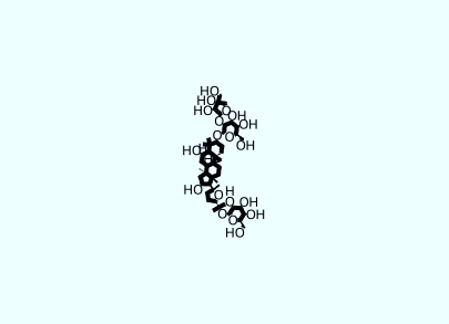 CC(C)(O[C@@H]1O[C@H](CO)[C@@H](O)[C@H](O)[C@H]1O)[C@@H]1CC[C@](C)([C@H]2[C@@H](O)C[C@@]3(C)[C@@H]4C[C@H](O)[C@H]5C(C)(C)[C@@H](O[C@@H]6O[C@H](CO)[C@@H](O)[C@H](O)[C@H]6O[C@@H]6OC[C@](O)(CO)[C@H]6O)CC[C@@]56C[C@@]46CC[C@]23C)O1